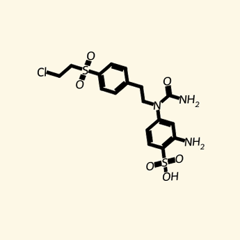 NC(=O)N(CCc1ccc(S(=O)(=O)CCCl)cc1)c1ccc(S(=O)(=O)O)c(N)c1